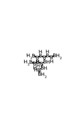 BBBB(BBB)BB(BBB)BBB